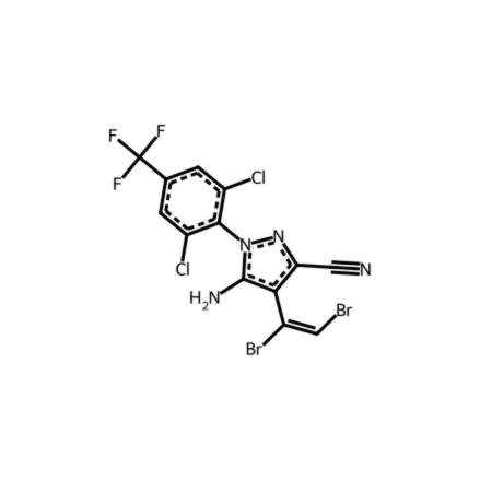 N#Cc1nn(-c2c(Cl)cc(C(F)(F)F)cc2Cl)c(N)c1/C(Br)=C\Br